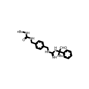 CCCCNC(=O)NCc1ccc(CNC(=N)NC(C=O)(CCCC)c2ccccc2)cc1